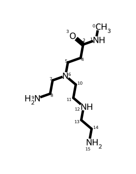 CNC(=O)CCN(CCN)CCNCCN